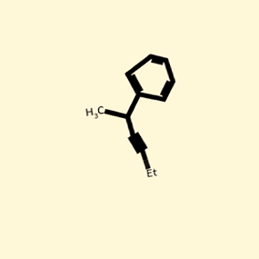 [CH2]CC#CC(C)c1ccccc1